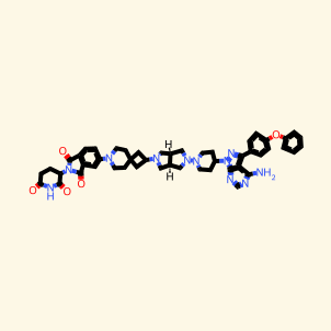 Nc1ncnc2c1c(-c1ccc(Oc3ccccc3)cc1)nn2C1CCN(N2C[C@H]3CN(C4CC5(CCN(c6ccc7c(c6)C(=O)N(C6CCC(=O)NC6=O)C7=O)CC5)C4)C[C@H]3C2)CC1